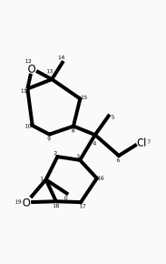 CC12CC(C(C)(CCl)C3CCC4OC4(C)C3)CCC1O2